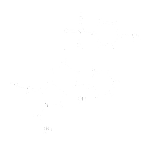 Cc1ccc(S(=O)(=O)OCC2CC3C(=C=O)N(OC(C)(C)C)CC3C(O)(c3ccccc3)C2)cc1